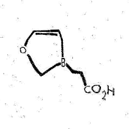 O=C(O)CB1C=COC1